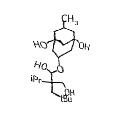 CC1CC2(O)CC(OC(O)C(CO)(CC(C)(C)C)C(C)C)CC(O)(C1)C2